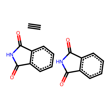 C#C.O=C1NC(=O)c2ccccc21.O=C1NC(=O)c2ccccc21